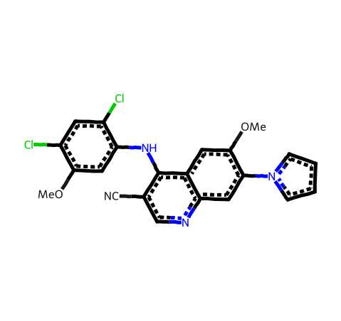 COc1cc(Nc2c(C#N)cnc3cc(-n4cccc4)c(OC)cc23)c(Cl)cc1Cl